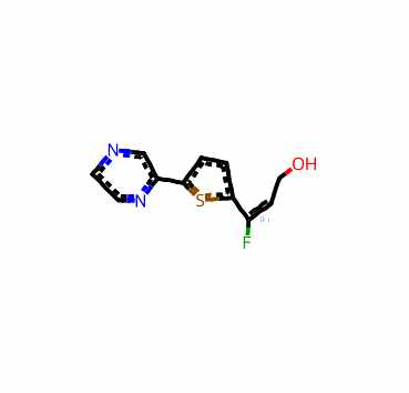 OC/C=C(/F)c1ccc(-c2cnccn2)s1